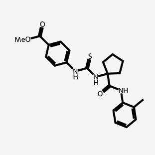 COC(=O)c1ccc(NC(=S)NC2(C(=O)Nc3ccccc3C)CCCC2)cc1